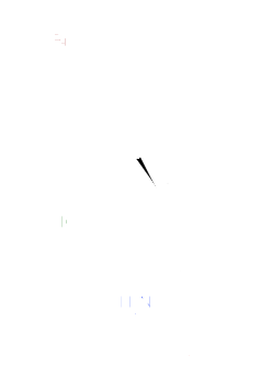 Cl.N[C@@]1(CO)CC[C@H](c2ccc(Br)cc2)C1